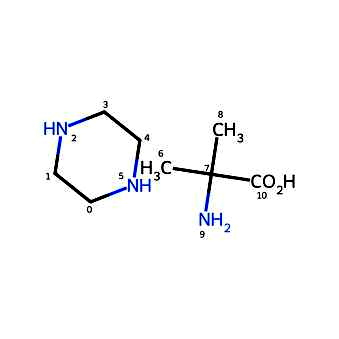 C1CNCCN1.CC(C)(N)C(=O)O